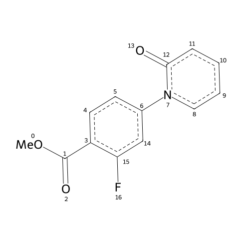 COC(=O)c1ccc(-n2ccccc2=O)cc1F